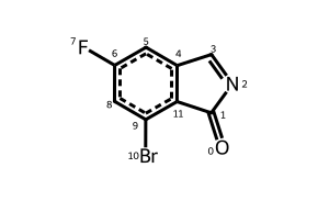 O=C1N=Cc2cc(F)cc(Br)c21